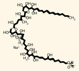 C=CCC/C=C/C=C/C=C/CC/C=C/[C@@H](O)[C@H](O)[C@@H]1O[C@@H]([C@H](O)[C@@H](O)C(=C)CC[C@@H](O)[C@H]2C[C@@H](O)[C@@H](O)[C@H]([C@@H](O)[C@H](O)/C=C(\C)CC[C@H](O)C[C@H](O)[C@H](O)C(C)C(O)C(O)C/C=C/CC(O)/C=C/CCCCCOS(=O)(=O)[O-])O2)C[C@@H](O)[C@H]1O.[Na+]